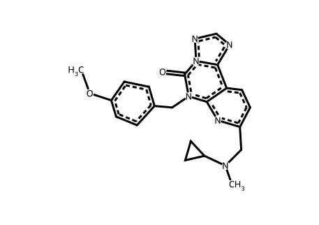 COc1ccc(Cn2c(=O)n3ncnc3c3ccc(CN(C)C4CC4)nc32)cc1